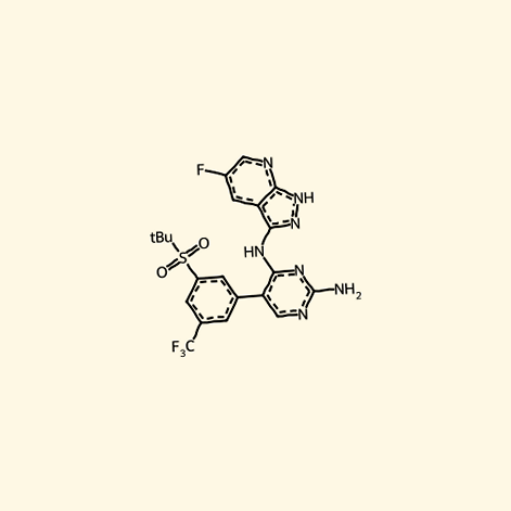 CC(C)(C)S(=O)(=O)c1cc(-c2cnc(N)nc2Nc2n[nH]c3ncc(F)cc23)cc(C(F)(F)F)c1